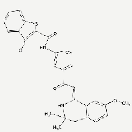 COc1ccc2c(c1)C(=CC(=O)c1cccc(NC(=O)c3sc4ccccc4c3Cl)c1)NC(C)(C)C2